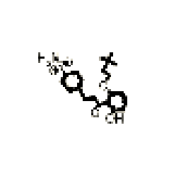 CC(C)(C)CCOc1cccc(O)c1C(=O)/C=C/c1ccc(S(N)(=O)=O)cc1